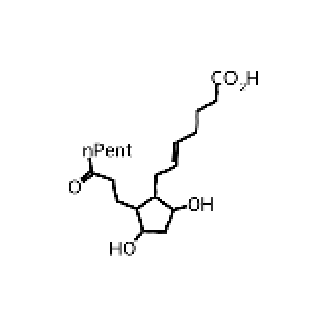 CCCCCC(=O)CCC1C(O)CC(O)C1CC=CCCCC(=O)O